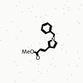 COC(=O)C=Cc1ccn(Cc2ccccc2)c1